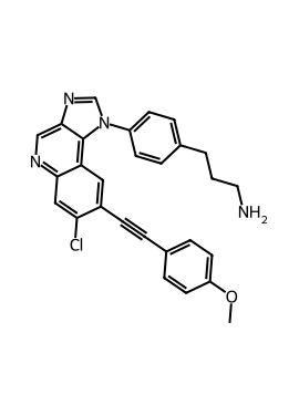 COc1ccc(C#Cc2cc3c(cc2Cl)ncc2ncn(-c4ccc(CCCN)cc4)c23)cc1